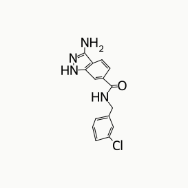 Nc1n[nH]c2cc(C(=O)NCc3cccc(Cl)c3)ccc12